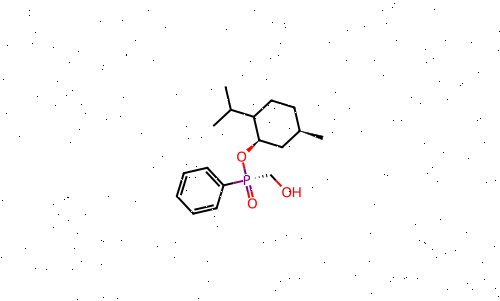 CC(C)C1CC[C@@H](C)C[C@H]1O[P@](=O)(CO)c1ccccc1